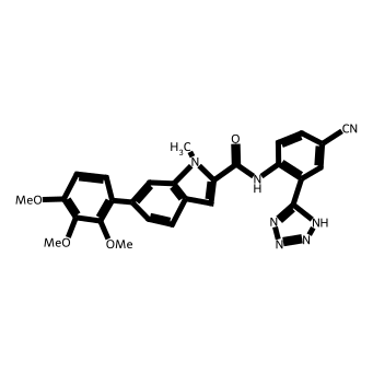 COc1ccc(-c2ccc3cc(C(=O)Nc4ccc(C#N)cc4-c4nnn[nH]4)n(C)c3c2)c(OC)c1OC